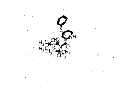 CC(C)(C)OC(=O)N(C(=O)[C@@H]1C[C@H](Sc2ccccc2)CCN1)C(C)(C)C